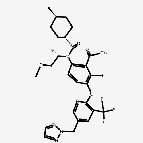 COC[C@H](C)N(c1ccc(Oc2ncc(Cn3nccn3)cc2C(F)(F)F)c(F)c1C(=O)O)C(=O)[C@H]1CC[C@H](C)CC1